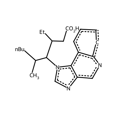 CCCCC(C)C(C(CC)CC(=O)O)n1cnc2cnc3ccccc3c21